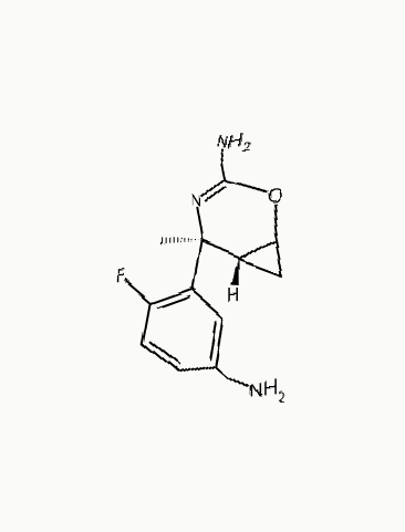 C[C@]1(c2cc(N)ccc2F)N=C(N)OC2C[C@@H]21